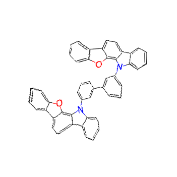 c1cc(-c2cccc(-n3c4ccccc4c4ccc5c6ccccc6oc5c43)c2)cc(-n2c3ccccc3c3ccc4c5ccccc5oc4c32)c1